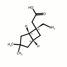 CC1(C)C[C@H]2C[C@@](CN)(CC(=O)O)[C@H]2C1